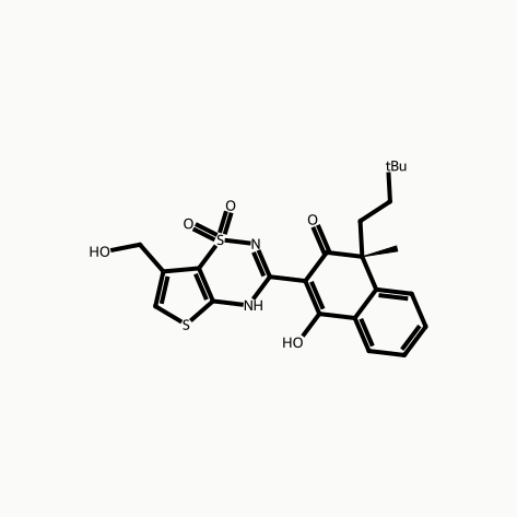 CC(C)(C)CC[C@@]1(C)C(=O)C(C2=NS(=O)(=O)c3c(CO)csc3N2)=C(O)c2ccccc21